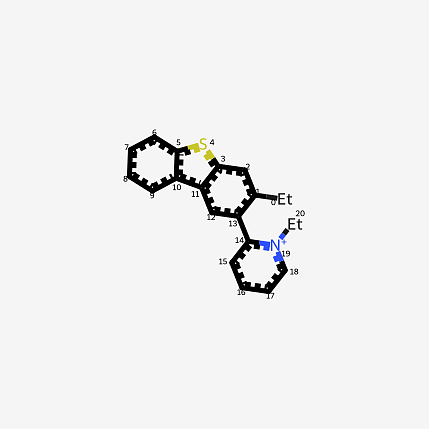 CCc1cc2sc3ccccc3c2cc1-c1cccc[n+]1CC